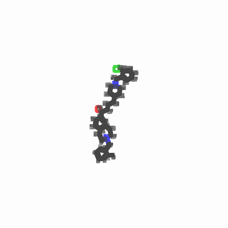 Cc1ccccc1CN1CCc2ccc(C(=O)CCCC3CCN(Cc4ccccc4Cl)CC3)cc2CC1